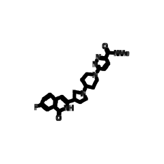 CNC(=O)c1ccc(N2CCC(N3CCC(c4cc5ccc(F)cc5c(=O)[nH]4)C3)CC2)nn1